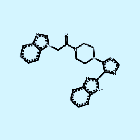 O=C(Cn1cnc2ccccc21)N1CCN(c2scnc2-c2nc3ccccc3[nH]2)CC1